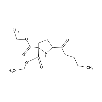 CCCCC(=O)C1CCC(C(=O)OCC)(C(=O)OCC)N1